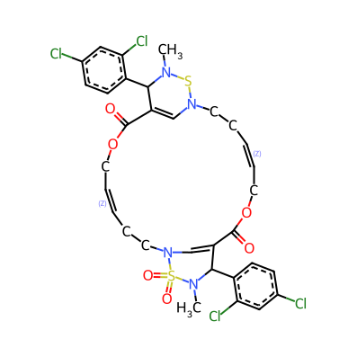 CN1SN2C=C(C(=O)OC/C=C\CCN3C=C(C(=O)OC/C=C\CC2)C(c2ccc(Cl)cc2Cl)N(C)S3(=O)=O)C1c1ccc(Cl)cc1Cl